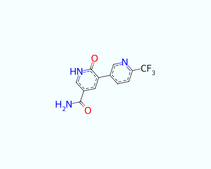 NC(=O)c1c[nH]c(=O)c(-c2ccc(C(F)(F)F)nc2)c1